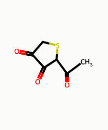 CC(=O)C1SCC(=O)C1=O